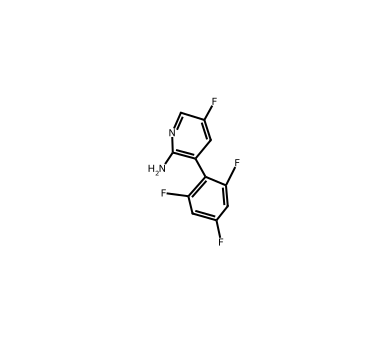 Nc1ncc(F)cc1-c1c(F)cc(F)cc1F